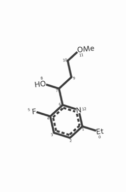 CCc1ccc(F)c(C(O)CCOC)n1